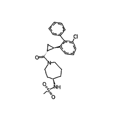 CS(=O)(=O)N[C@@H]1CCCN(C(=O)[C@@H]2C[C@H]2c2cccc(Cl)c2-c2ccccc2)CC1